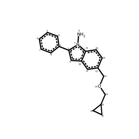 Nn1c(-c2ccccc2)cc2cc(COCC3CC3)ccc21